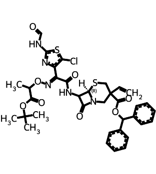 C=CC1(C(=O)OC(c2ccccc2)c2ccccc2)CS[C@@H]2C(NC(=O)C(=NOC(C)C(=O)OC(C)(C)C)c3nc(NC=O)sc3Cl)C(=O)N2C1